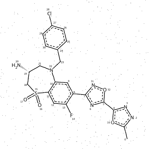 Cc1nnc(-c2nc(-c3cc4c(cc3F)S(=O)(=O)C[C@H](N)CN4Cc3ccc(Cl)cc3)no2)o1